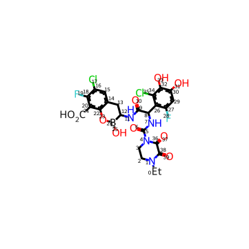 CCN1CCN(C(=O)NC(C(=O)NC2Cc3cc(Cl)c(F)c(C(=O)O)c3OB2O)c2c(F)cc(O)c(O)c2Cl)C(=O)C1=O